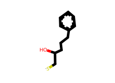 OC(C[S])CCCc1ccccc1